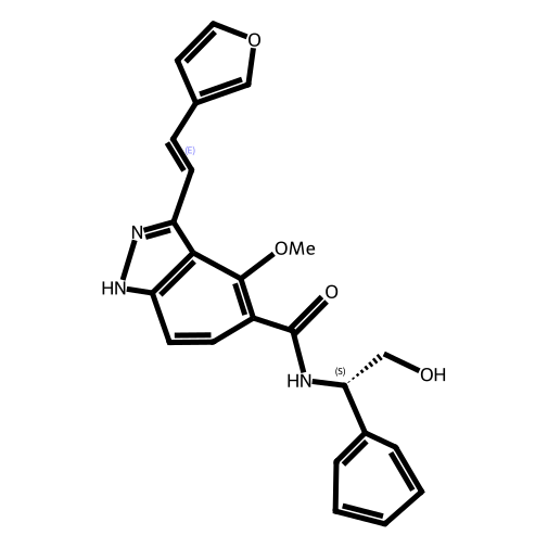 COc1c(C(=O)N[C@H](CO)c2ccccc2)ccc2[nH]nc(/C=C/c3ccoc3)c12